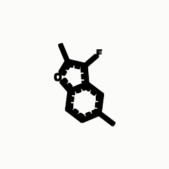 Cc1ccc2oc(C)c(F)c2c1